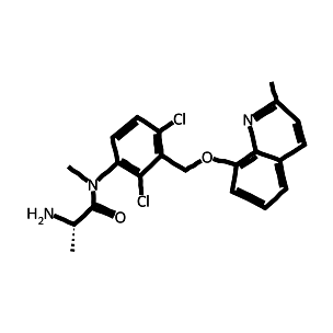 Cc1ccc2cccc(OCc3c(Cl)ccc(N(C)C(=O)[C@H](C)N)c3Cl)c2n1